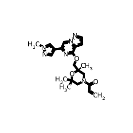 C=CC(=O)N1CC(C)(C)O[C@](C)(COc2nc(-c3cnn(C)c3)cn3nccc23)C1